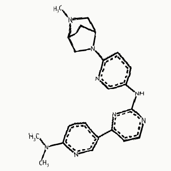 CN(C)c1ccc(-c2ccnc(Nc3ccc(N4CC5CC4CN5C)nc3)n2)cn1